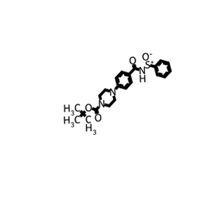 CC(C)(C)OC(=O)N1CCN(c2ccc(C(=O)N[S+]([O-])c3ccccc3)cc2)CC1